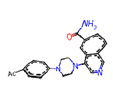 CC(=O)c1ccc(N2CCN(c3cncc4ccc(C(N)=O)cc34)CC2)cc1